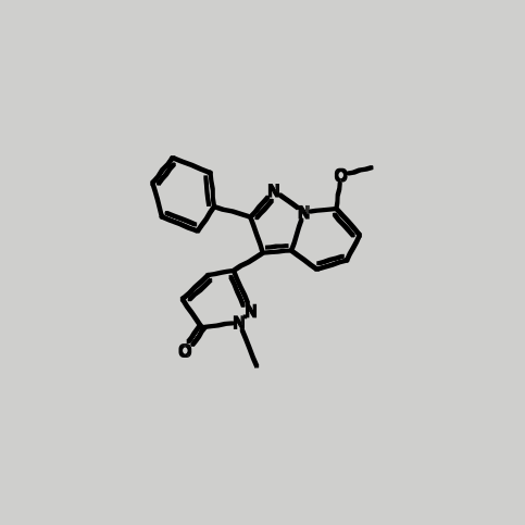 COc1cccc2c(-c3ccc(=O)n(C)n3)c(-c3ccccc3)nn12